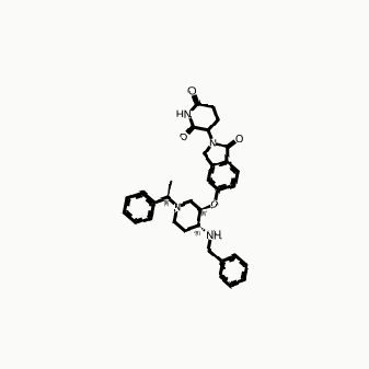 C[C@H](c1ccccc1)N1CC[C@@H](NCc2ccccc2)[C@H](Oc2ccc3c(c2)CN(C2CCC(=O)NC2=O)C3=O)C1